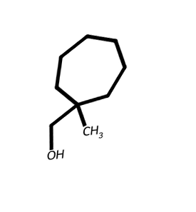 CC1(CO)CCCCCC1